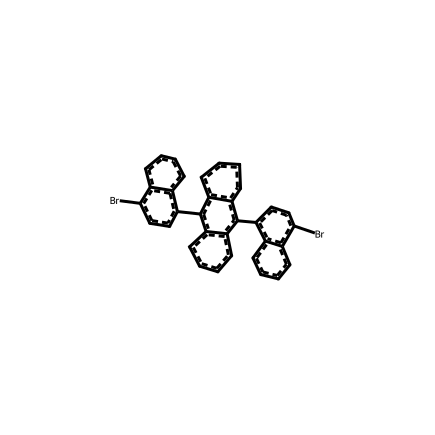 Brc1ccc(-c2c3ccccc3c(-c3ccc(Br)c4ccccc34)c3ccccc23)c2ccccc12